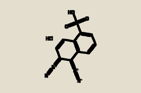 Cl.[N-]=[N+]=C1C=Cc2c(cccc2S(=O)(=O)O)C1=[N+]=[N-]